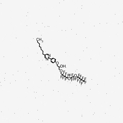 CCCCCCCCc1cnc(-c2ccc(OCC(O)COCC(F)(F)C(F)(F)C(F)(F)OC(F)(F)C(F)(F)OC(F)(F)C(F)(F)C(F)(F)C(F)(F)F)cc2)nc1